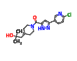 CC(C)(O)CC1CCN(C(=O)c2cc(-c3ccc(Cl)nc3)n[nH]2)CC1